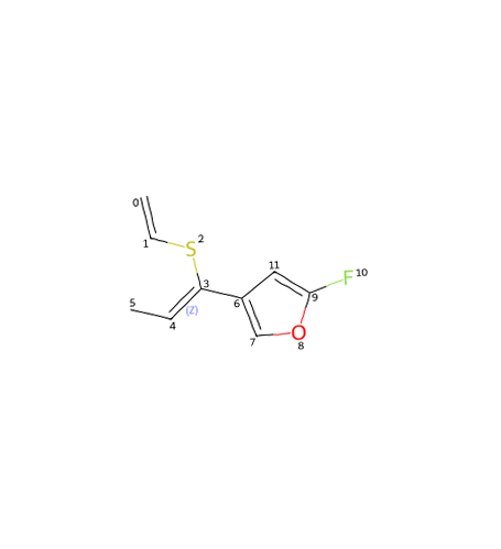 C=CS/C(=C\C)c1coc(F)c1